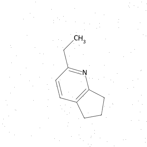 CCc1ccc2c(n1)CCC2